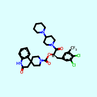 O=C1CC2(CCN(C(=O)O[C@H](Cc3cc(Cl)c(Cl)c(C(F)(F)F)c3)C(=O)N3CCC(N4CCCCC4)CC3)CC2)c2ccccc2N1